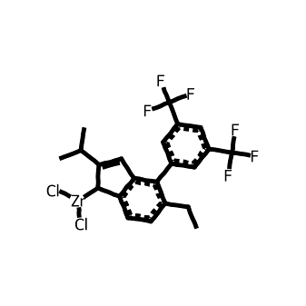 CCc1ccc2c(c1-c1cc(C(F)(F)F)cc(C(F)(F)F)c1)C=C(C(C)C)[CH]2[Zr]([Cl])[Cl]